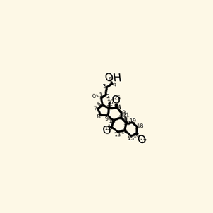 C[C@H](CCCO)C1CCC2C3C(=O)CC4CC(=O)CCC4(C)C3CC(=O)C21C